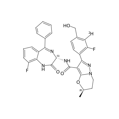 [2H]c1c(CO)ccc(-c2nn3c(c2C(=O)N[C@H]2N=C(c4ccccc4)c4cccc(F)c4NC2=O)O[C@H](C)CC3)c1F